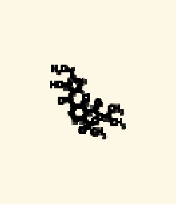 CCn1ncc(C(=O)c2ccc(S(C)(=O)=O)c(C(=O)OC(C)C)c2Cl)c1O